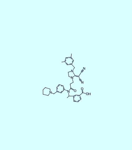 Cc1cc(C)cc(CN2CCN(CCC(=O)N(c3cccc(CN4CCCCC4)c3)C(C)c3cccc(C(=O)O)c3)C2=C(C#N)C#N)c1